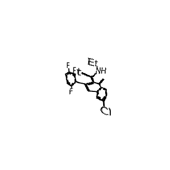 C=C1C(C(CC)NCC)=C(c2cc(F)ccc2F)Cc2cc(Cl)ccc21